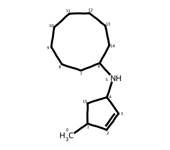 CC1C=CC(NC2CCCCCCCC2)C1